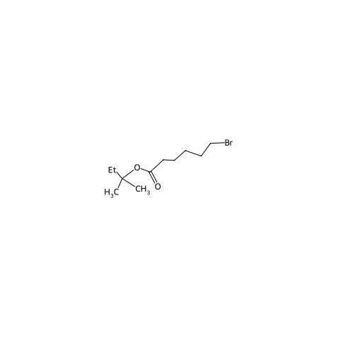 CCC(C)(C)OC(=O)CCCCCBr